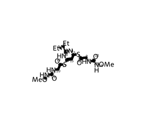 CCN(CC)N1N=C(SC(=O)CNC(=O)NOC)C=C(SC(=O)CNC(=O)NOC)N1